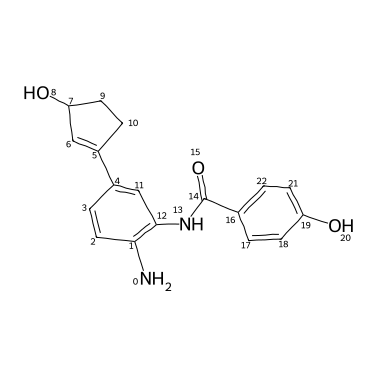 Nc1ccc(C2=CC(O)CC2)cc1NC(=O)c1ccc(O)cc1